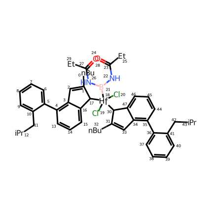 CCCCC1=Cc2c(-c3ccccc3CC(C)C)cccc2[CH]1[Hf]([Cl])([Cl])([B](NC(=O)CC)NC(=O)CC)[CH]1C(CCCC)=Cc2c(-c3ccccc3CC(C)C)cccc21